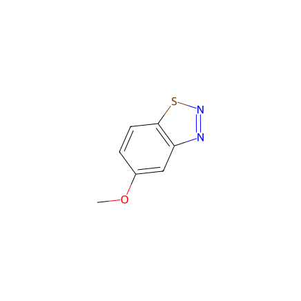 COc1ccc2snnc2c1